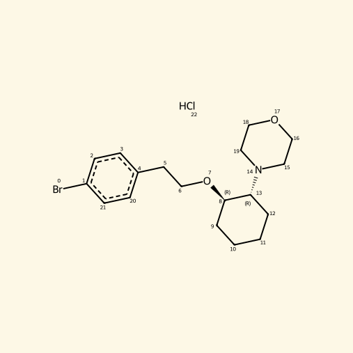 Brc1ccc(CCO[C@@H]2CCCC[C@H]2N2CCOCC2)cc1.Cl